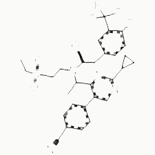 CCS(=O)(=O)CCN(C(=O)Cc1ccc(F)c(C(F)(F)F)c1)C(C)c1nc(C2CC2)ncc1-c1ccc(C#N)cc1